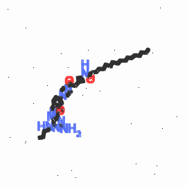 CCCCCCCCCCCCCCCCCC(=O)NC1CC(CC(=O)N2CCN(c3ccc(Cn4cc5nc(N)nc(NCCCC)c5n4)c(OC)c3)CC2)C1